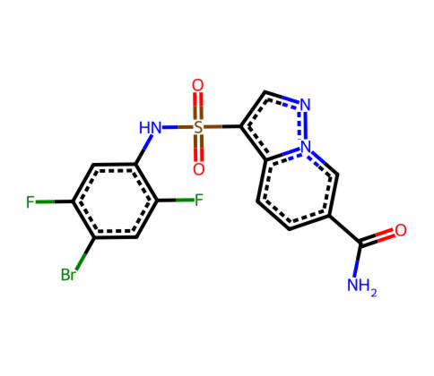 NC(=O)c1ccc2c(S(=O)(=O)Nc3cc(F)c(Br)cc3F)cnn2c1